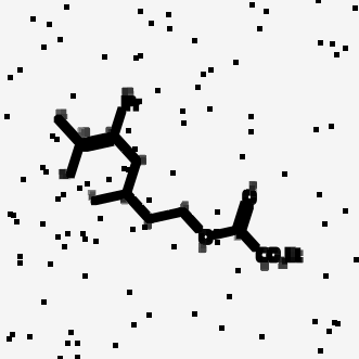 CCOC(=O)C(=O)OCCC(C)CC(=C(C)C)C(C)C